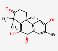 CC(C)c1cc2c(cc1O)[C@@]1(C)CCC(=O)C(C)(C)C1=C(O)C2=O